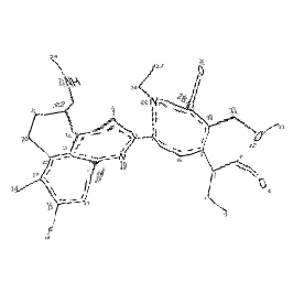 CCC(C=O)c1cc(-c2cc3c4c(c(C)c(F)cc4n2)CCC3NC)n(CC)c(=O)c1COC